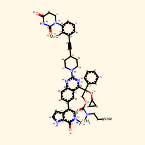 CNCCN(C)C(=O)OCC(OC1CC1)(c1ccccc1)c1nc(N2CCC(C#Cc3cccc(N4CCC(=O)NC4=O)c3OC)CC2)nc2ccc(-c3cn(C)c(=O)c4[nH]ccc34)cc12